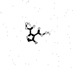 COC(=O)c1scc(Br)c1C(=O)OC